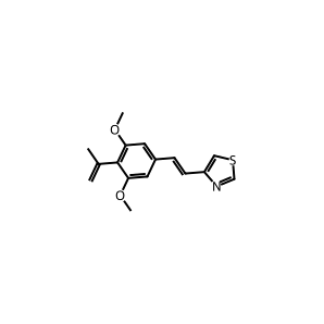 C=C(C)c1c(OC)cc(/C=C/c2cscn2)cc1OC